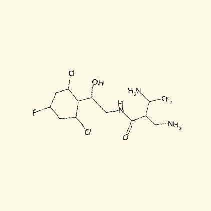 NCC(C(=O)NCC(O)C1C(Cl)CC(F)CC1Cl)C(N)C(F)(F)F